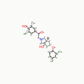 O=C(CN1C[C@H]2C[C@H](Oc3ccc(F)cc3F)C[C@@]2(O)C1)c1cc(F)c(O)c(F)c1